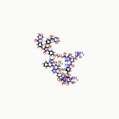 CCC(C)[C@@H]([C@@H](CC(=O)N1CCC[C@H]1[C@H](OC)[C@@H](C)C(=O)N[C@@H](Cc1ccccc1)c1nccs1)OC)N(C)C(=O)[C@@H](NC(=O)[C@H](C(C)C)N(C)C(=O)OCc1ccc(NC(=O)[C@H](CCCNC(N)=O)NC(=O)[C@@H](NC(=O)COCCOc2ccc(N3C(=O)C(Sc4ccc(C(=O)N5CCOCC5)cc4)=C(Sc4ccc(C(=O)N5CCOCC5)cc4)C3=O)cc2)C(C)C)cc1)C(C)C